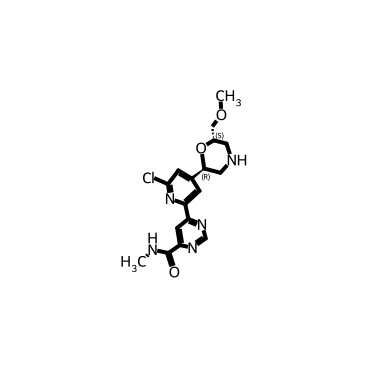 CNC(=O)c1cc(-c2cc([C@@H]3CNC[C@@H](COC)O3)cc(Cl)n2)ncn1